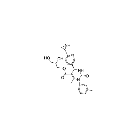 CC1=C(C(=O)OCC(O)CO)[C@@H](c2ccc(C3CN3)cc2)NC(=O)N1c1cccc(C)c1